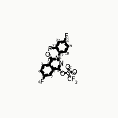 O=c1c2ccc(F)cc2c(OS(=O)(=O)C(F)(F)F)nn1-c1ccc(F)cc1F